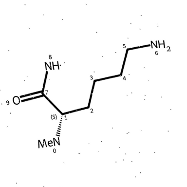 CN[C@@H](CCCCN)C([NH])=O